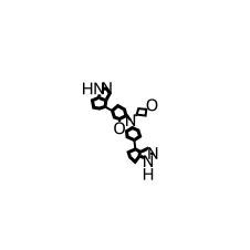 O=C1CC(N2c3ccc(-c4cccc5[nH]ncc45)cc3Oc3cc(-c4cccc5[nH]ncc45)ccc32)C1